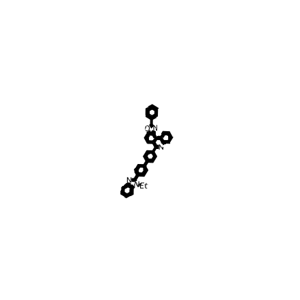 CCn1c(-c2ccc(-c3ccc(-c4nc5ccccc5c5c4ccc4oc(-c6ccccc6)nc45)cc3)cc2)nc2ccccc21